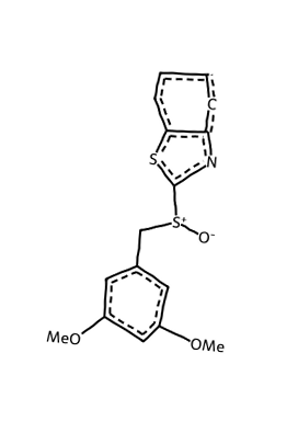 COc1cc(C[S+]([O-])c2nc3ccccc3s2)cc(OC)c1